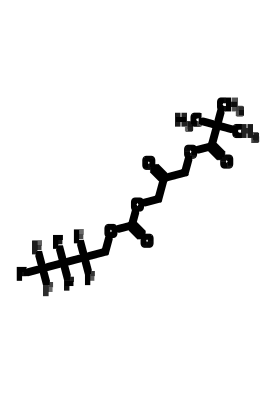 CC(C)(C)C(=O)OCC(=O)COC(=O)OCC(F)(F)C(F)(F)C(F)(F)F